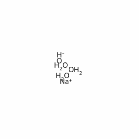 O.O.O.[Na+].[OH-]